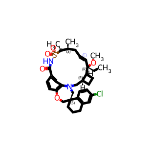 CC[C@]1(OC)/C=C/C[C@H](C)[C@@H](C)S(=O)(=O)NC(=O)c2ccc3c(c2)N(C[C@@H]2CC[C@H]21)C[C@@]1(CCCc2cc(Cl)ccc21)CO3